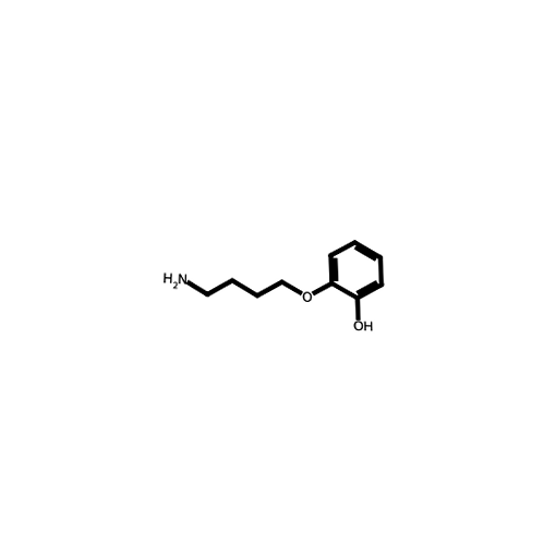 NCCCCOc1ccccc1O